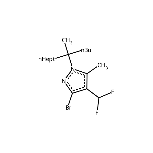 CCCCCCCC(C)(CCCC)n1nc(Br)c(C(F)F)c1C